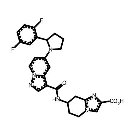 O=C(O)c1cn2c(n1)CC(NC(=O)c1cnn3ccc(N4CCCC4c4cc(F)ccc4F)cc13)CC2